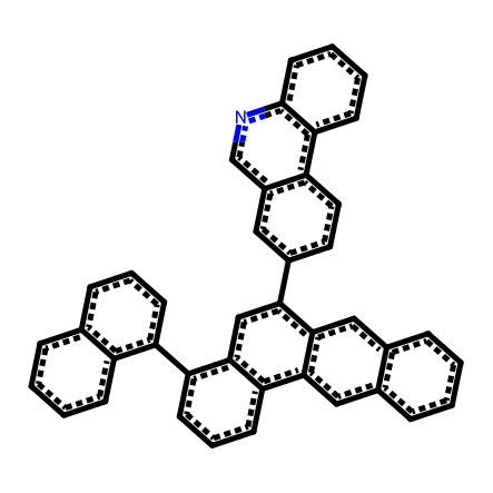 c1ccc2cc3c(cc2c1)c(-c1ccc2c(cnc4ccccc42)c1)cc1c(-c2cccc4ccccc24)cccc13